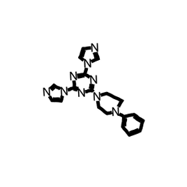 c1ccc(N2CCN(c3nc(-n4ccnc4)nc(-n4ccnc4)n3)CC2)cc1